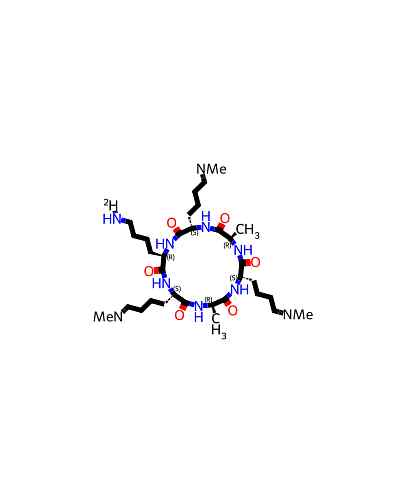 [2H]NCCCC[C@H]1NC(=O)[C@H](CCCCNC)NC(=O)[C@@H](C)NC(=O)[C@H](CCCCNC)NC(=O)[C@@H](C)NC(=O)[C@H](CCCCNC)NC1=O